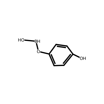 OBOc1ccc(O)cc1